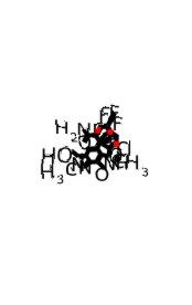 COC1(c2cc(F)ccc2Cl)NC(=O)c2c1c(-c1c(F)cc(C(F)(F)F)cc1C(N)=O)cc1c(CO)n(C)nc21